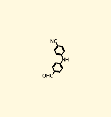 N#Cc1ccc(Nc2ccc(C=O)cc2)cc1